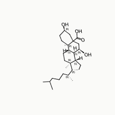 CC(C)CCC[C@@H](C)[C@H]1CC[C@H]2[C@@H]3[C@H](O)CC4(C(=O)O)C[C@H](O)CC[C@]4(C)[C@H]3CC[C@]12C